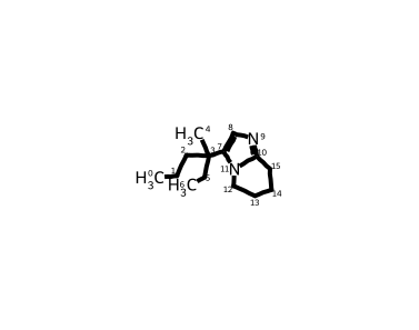 CCCC(C)(CC)c1cnc2n1CCCC2